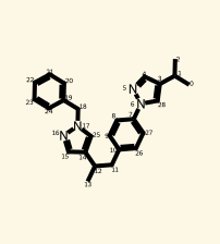 CC(C)c1cnn(-c2ccc(CC(C)c3cnn(Cc4ccccc4)c3)cc2)c1